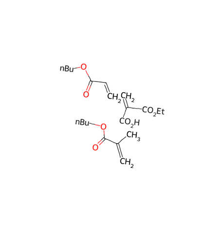 C=C(C(=O)O)C(=O)OCC.C=C(C)C(=O)OCCCC.C=CC(=O)OCCCC